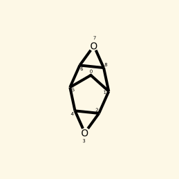 C1C2C3OC3C1C1OC21